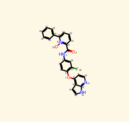 O=C(Nc1ccc(Oc2ccnc3[nH]ccc23)c(F)c1)c1cccc(-c2ccccc2)[n+]1[O-]